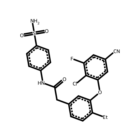 CCc1ccc(CC(=O)Nc2ccc(S(N)(=O)=O)cc2)cc1Oc1cc(C#N)cc(F)c1Cl